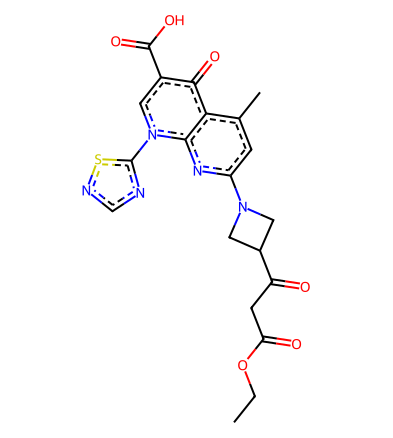 CCOC(=O)CC(=O)C1CN(c2cc(C)c3c(=O)c(C(=O)O)cn(-c4ncns4)c3n2)C1